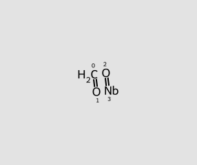 C=O.[O]=[Nb]